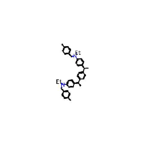 CCN(Cc1ccc(C)cc1)c1ccc(C(C)c2ccc(C(C)c3ccc(N(CC)Cc4ccc(C)cc4)cc3)cc2)cc1